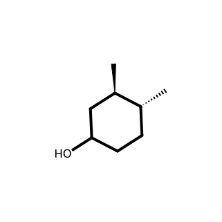 C[C@@H]1CCC(O)C[C@H]1C